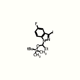 CCC(O[Si](C)(C)C(C)(C)C)n1nc(I)c2cc(F)ccc21